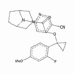 COc1ccc(C2(OCC(=O)N3CC4CCC(C3)N4c3ccc(C#N)cn3)CC2)c(F)c1